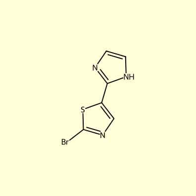 Brc1ncc(-c2ncc[nH]2)s1